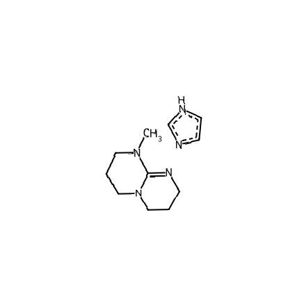 CN1CCCN2CCCN=C12.c1c[nH]cn1